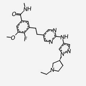 CCN1CC[C@H](n2cc(Nc3ncc(CCc4cc(C(=O)NC)cc(OC)c4F)cn3)cn2)C1